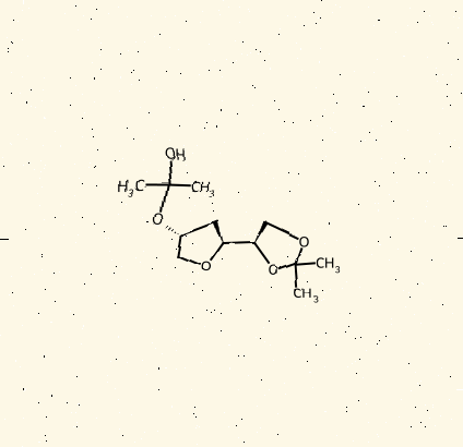 CC(C)(O)O[C@H]1CO[C@H]([C@H]2COC(C)(C)O2)C1